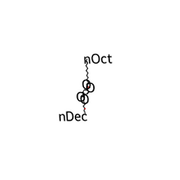 CCCCCCCCC=CCCCCCCCCOC(=O)c1ccc(C(=O)OCCCCCCCCCCCCCCCC)cc1